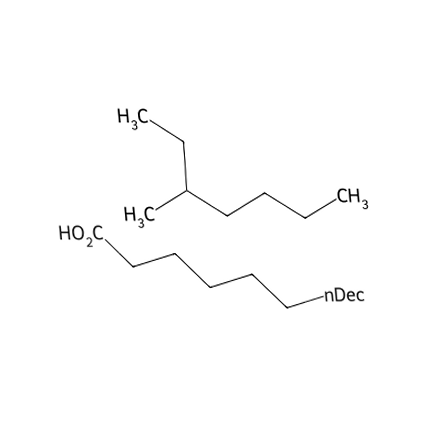 CCCCC(C)CC.CCCCCCCCCCCCCCCC(=O)O